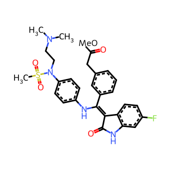 COC(=O)Cc1cccc(/C(Nc2ccc(N(CCN(C)C)S(C)(=O)=O)cc2)=C2/C(=O)Nc3cc(F)ccc32)c1